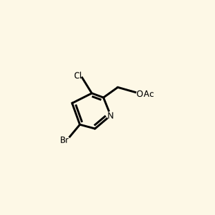 CC(=O)OCc1ncc(Br)cc1Cl